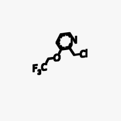 FC(F)(F)COc1cccnc1CCl